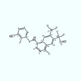 Cc1c(C#N)cccc1CNc1nnc(C)c2cc(C(C)(C)C=O)c(N(C)C)cc12